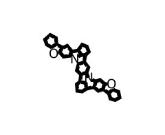 c1ccc2c(c1)oc1cc3c(cc12)c1cccc2c4cc5c(cc4n3c12)c1cccc2c3cc4c(cc3n5c21)oc1ccccc14